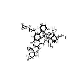 CCCCC1=CNC2(CC3CC3C2)C(=O)N1Cc1ccc(-c2ccccc2S(=O)(=O)Nc2noc(C)c2C)c(COCC2CC2)c1